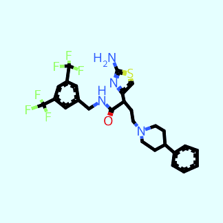 Nc1nc(C(CCN2CCC(c3ccccc3)CC2)C(=O)NCc2cc(C(F)(F)F)cc(C(F)(F)F)c2)cs1